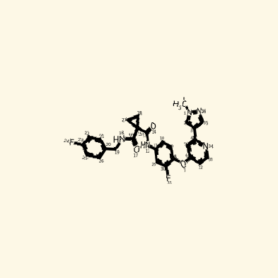 Cn1cc(-c2cc(Oc3ccc(NC(=O)C4(C(=O)NCc5ccc(F)cc5)CC4)cc3F)ccn2)cn1